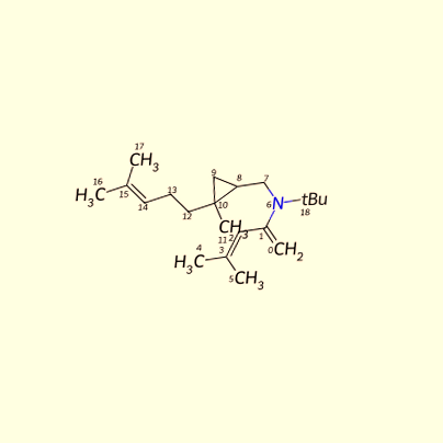 C=C(C=C(C)C)N(CC1CC1(C)CCC=C(C)C)C(C)(C)C